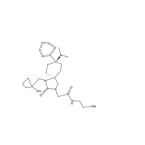 CN(C)[C@]1(c2ccccc2)CC[C@]2(CC1)CN(CC(=O)NCCO)C(=O)N2CC1(O)CCC1